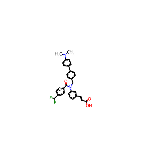 CN(C)c1ccc(-c2ccc(CN(C(=O)c3ccc(C(F)F)cc3)c3cccc(C=CC(=O)O)c3)cc2)cc1